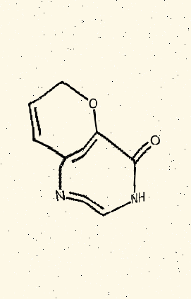 O=c1[nH]cnc2c1OCC=C2